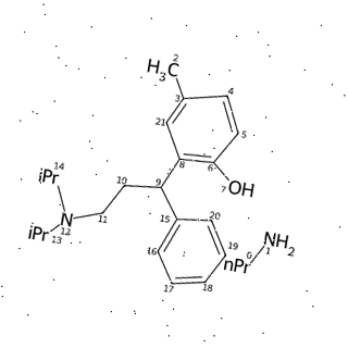 CCCN.Cc1ccc(O)c(C(CCN(C(C)C)C(C)C)c2ccccc2)c1